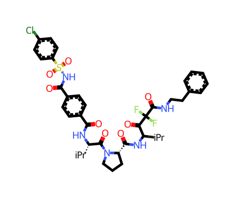 CC(C)C(NC(=O)[C@@H]1CCCN1C(=O)[C@@H](NC(=O)c1ccc(C(=O)NS(=O)(=O)c2ccc(Cl)cc2)cc1)C(C)C)C(=O)C(F)(F)C(=O)NCCc1ccccc1